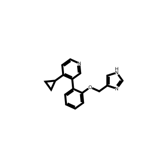 c1ccc(-c2cnccc2C2CC2)c(OCc2c[nH]cn2)c1